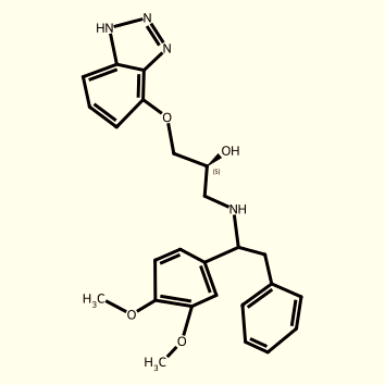 COc1ccc(C(Cc2ccccc2)NC[C@H](O)COc2cccc3[nH]nnc23)cc1OC